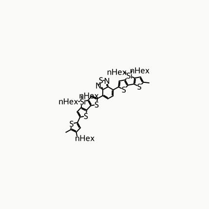 CCCCCCc1cc(-c2cc3c(s2)-c2sc(-c4ccc(-c5cc6c(s5)-c5sc(C)cc5[Si]6(CCCCCC)CCCCCC)c5nsnc45)cc2[Si]3(CCCCCC)CCCCCC)sc1C